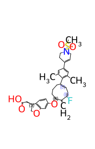 C=C1/C(F)=C\C=C(\c2c(C)cc(C3=CCN(S(C)(=O)=O)CC3)cc2C)CCC[C@H]1Oc1ccc2c(c1)OC[C@H]2CC(=O)O